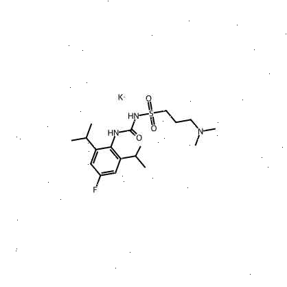 CC(C)c1cc(F)cc(C(C)C)c1NC(=O)NS(=O)(=O)CCCN(C)C.[K]